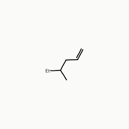 C=CCC(C)CC